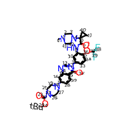 CN1CCN(C2(C(=O)Nc3cc(-n4cnc5cc(N6CCN(C(=O)OC(C)(C)C)CC6)ccc5c4=O)ccc3OC(F)F)CC2)CC1